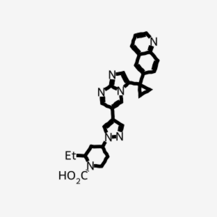 CCC1CC(n2cc(-c3cnc4ncc(C5(c6ccc7ncccc7c6)CC5)n4c3)cn2)CCN1C(=O)O